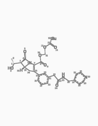 C[C@@H](O)[C@H]1C(=O)N2C(C(=O)OCOC(=O)C(C)(C)C)=C(c3cccc(CC(=O)NCc4ccncc4)c3)C[C@H]12